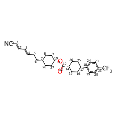 N#CC=CC=CCC[C@H]1CC[C@H](OC(=O)[C@H]2CC[C@H](c3ccc(C(F)(F)F)cc3)CC2)CC1